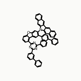 c1ccc(-c2ccc(-c3cc4c(cc3-n3c5cc6ccccc6cc5c5cc6ccccc6cc53)oc3cccc(-c5nc(-c6ccccc6)nc(-c6cccc(-c7ccccc7)c6)n5)c34)cc2)cc1